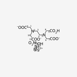 O=C([O-])CN(CCN(CC(=O)[O-])CC(=O)O)CC(=O)[O-].O=[N+]([O-])O.[Mg+2].[Na+]